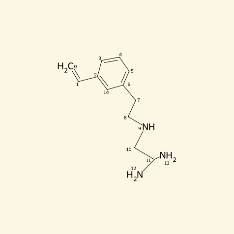 C=Cc1cccc(CCNCC(N)N)c1